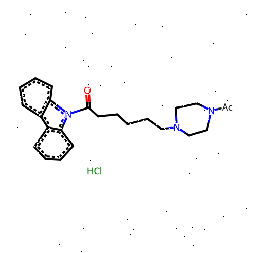 CC(=O)N1CCN(CCCCCC(=O)n2c3ccccc3c3ccccc32)CC1.Cl